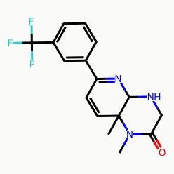 CN1C(=O)CNC2N=C(c3cccc(C(F)(F)F)c3)C=CC21C